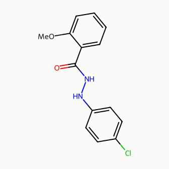 COc1ccccc1C(=O)NNc1ccc(Cl)cc1